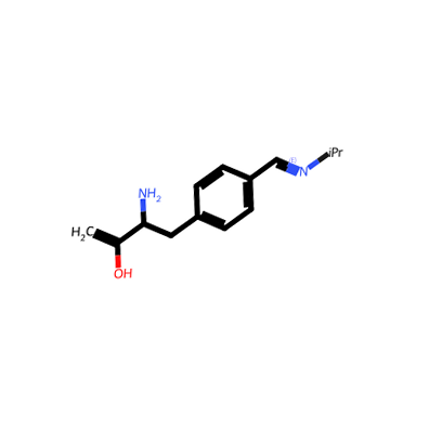 C=C(O)C(N)Cc1ccc(/C=N/C(C)C)cc1